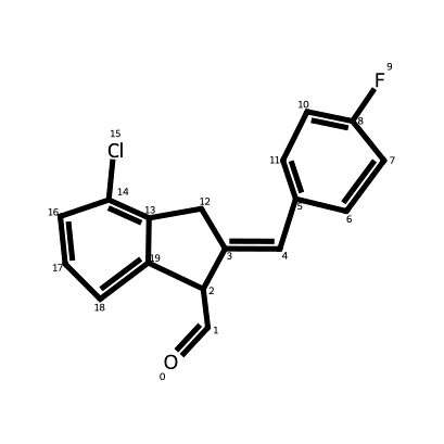 O=CC1/C(=C/c2ccc(F)cc2)Cc2c(Cl)cccc21